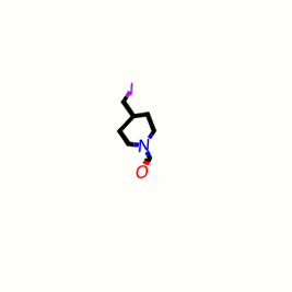 O=CN1CCC(CI)CC1